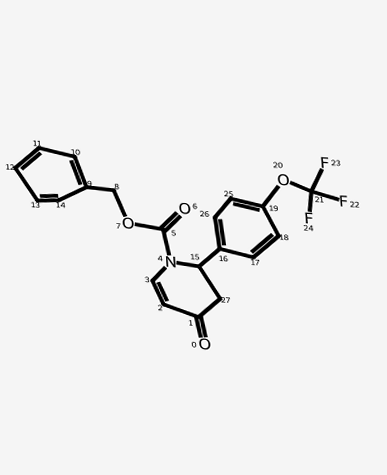 O=C1C=CN(C(=O)OCc2ccccc2)C(c2ccc(OC(F)(F)F)cc2)C1